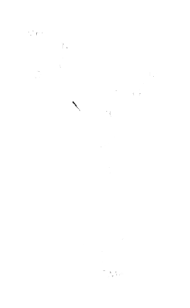 COc1ccc(CS[C@@H]2C[C@@H](CCC(=O)N(C)OC)N(C(=O)OC(C)(C)C)C2)cc1